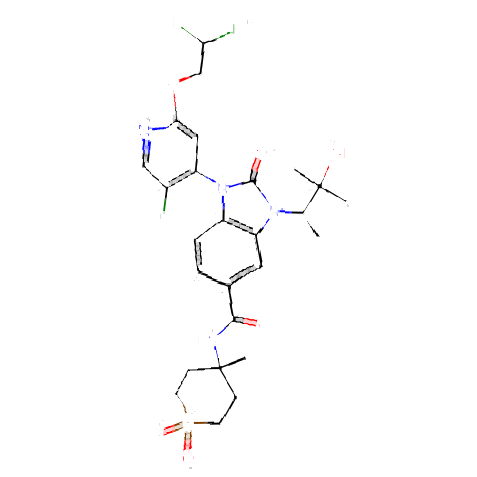 C[C@@H](n1c(=O)n(-c2cc(OCC(F)F)ncc2F)c2ccc(C(=O)NC3(C)CCS(=O)(=O)CC3)cc21)C(C)(C)O